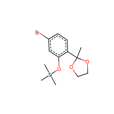 CC1(c2ccc(Br)cc2O[Si](C)(C)C)OCCO1